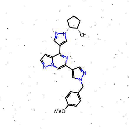 COc1ccc(Cn2cc(-c3cn4nccc4c(-c4cnn([C@@H]5CCC[C@@H]5C)c4)n3)cn2)cc1